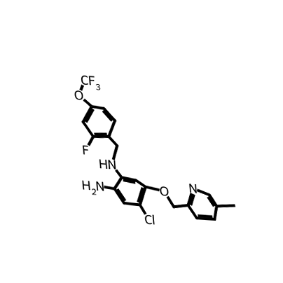 Cc1ccc(COc2cc(NCc3ccc(OC(F)(F)F)cc3F)c(N)cc2Cl)nc1